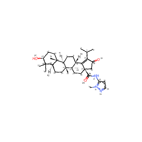 CC(C)C1=C2[C@H]3CC[C@@H]4[C@@]5(C)CC[C@H](O)C(C)(C)[C@@H]5CC[C@@]4(C)[C@]3(C)CC[C@@]2(C(=O)Nc2ccnn2C)CC1=O